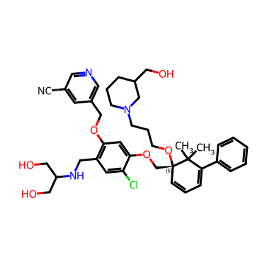 CC1(C)C(c2ccccc2)=CC=C[C@]1(COc1cc(OCc2cncc(C#N)c2)c(CNC(CO)CO)cc1Cl)OCCCN1CCCC(CO)C1